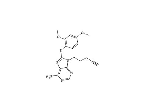 C#CCCCn1c(Sc2ccc(OC)cc2OC)nc2c(N)ncnc21